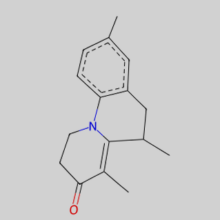 CC1=C2C(C)Cc3cc(C)ccc3N2CCC1=O